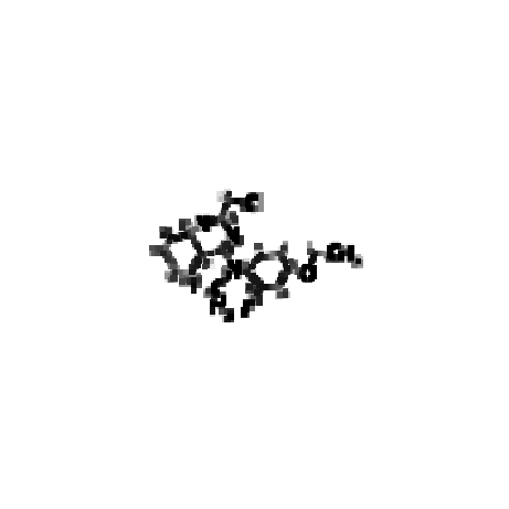 CCOc1ccc(N(C)c2nc(CCl)nc3cccc(F)c23)c(F)c1